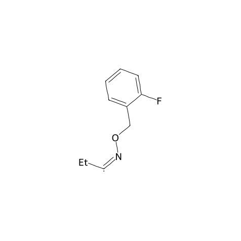 CC/[C]=N\OCc1ccccc1F